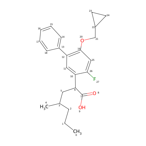 CCCC(C)CC(C(=O)O)c1cc(-c2ccccc2)c(OCC2CC2)cc1F